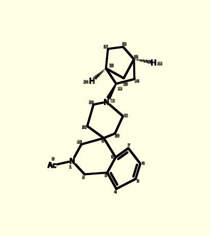 CC(=O)N1Cc2ccccc2C2(CCN([C@@H]3C[C@@H]4CC[C@H]3C4)CC2)C1